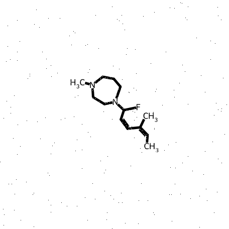 C/C=C(C)\C=C/C(F)N1CCCN(C)CC1